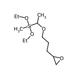 CCO[Si](C)(OCC)C(C)OCCCC1CO1